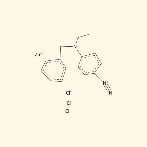 CCN(Cc1ccccc1)c1ccc([N+]#N)cc1.[Cl-].[Cl-].[Cl-].[Zn+2]